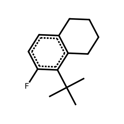 CC(C)(C)c1c(F)ccc2c1CCCC2